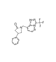 O=C1CC(c2ccccc2)CN1Cc1ccnn2c(C(F)(F)F)nnc12